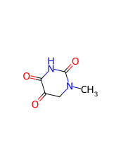 CN1CC(=O)C(=O)NC1=O